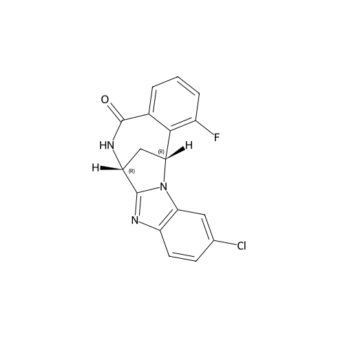 O=C1N[C@@H]2C[C@H](c3c(F)cccc31)n1c2nc2ccc(Cl)cc21